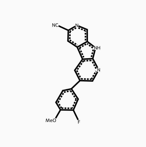 COc1ccc(-c2cnc3[nH]c4cnc(C#N)cc4c3c2)cc1F